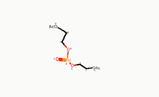 CC(=O)OCCO[PH](=O)OCCOC(C)=O